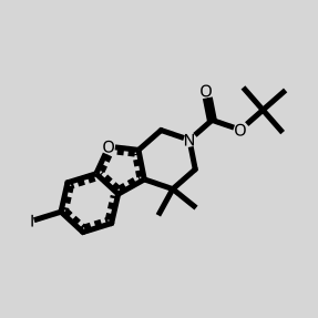 CC(C)(C)OC(=O)N1Cc2oc3cc(I)ccc3c2C(C)(C)C1